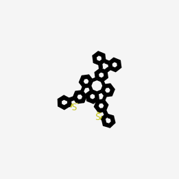 c1ccc2c(c1)-c1c(-c3ccc4sc5ccccc5c4c3)cccc1-c1cc3c4ccccc4c4ccccc4c3cc1-c1cccc(-c3ccc4sc5ccccc5c4c3)c1-2